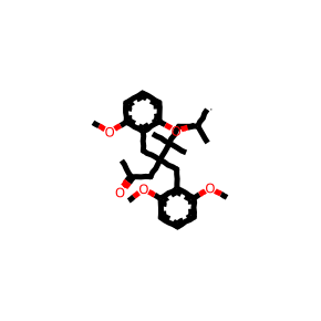 [CH2]C(C)CC(C)(C)C(CC(C)=O)(Cc1c(OC)cccc1OC)Cc1c(OC)cccc1OC